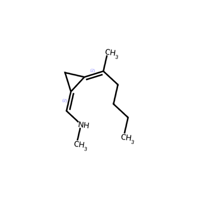 CCCC/C(C)=C1/C/C1=C/NC